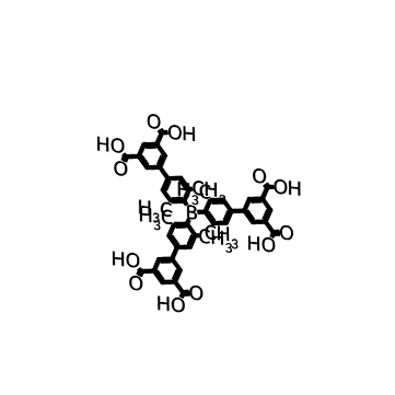 Cc1cc(-c2cc(C(=O)O)cc(C(=O)O)c2)cc(C)c1B(c1c(C)cc(-c2cc(C(=O)O)cc(C(=O)O)c2)cc1C)c1c(C)cc(-c2cc(C(=O)O)cc(C(=O)O)c2)cc1C